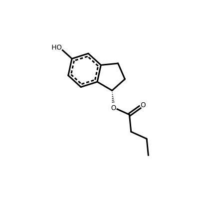 CCCC(=O)O[C@H]1CCc2cc(O)ccc21